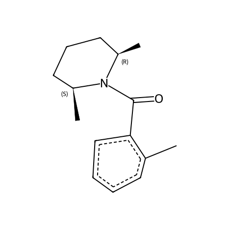 Cc1ccccc1C(=O)N1[C@H](C)CCC[C@@H]1C